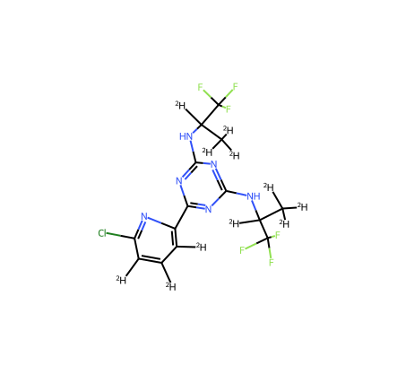 [2H]c1c(Cl)nc(-c2nc(NC([2H])(C([2H])([2H])[2H])C(F)(F)F)nc(NC([2H])(C([2H])([2H])[2H])C(F)(F)F)n2)c([2H])c1[2H]